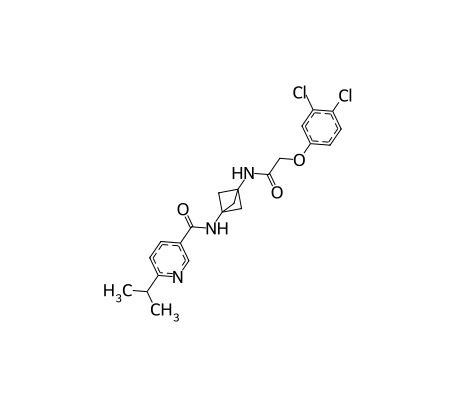 CC(C)c1ccc(C(=O)NC23CC(NC(=O)COc4ccc(Cl)c(Cl)c4)(C2)C3)cn1